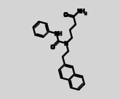 NC(=O)CCCN(CCc1ccc2ccccc2c1)C(=O)Nc1ccccc1